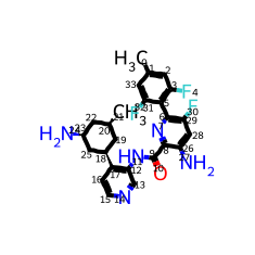 Cc1cc(F)c(-c2nc(C(=O)Nc3cnccc3[C@@H]3C[C@H](C)C[C@H](N)C3)c(N)cc2F)c(F)c1